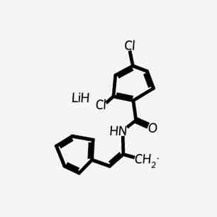 [CH2]/C(=C/c1ccccc1)NC(=O)c1ccc(Cl)cc1Cl.[LiH]